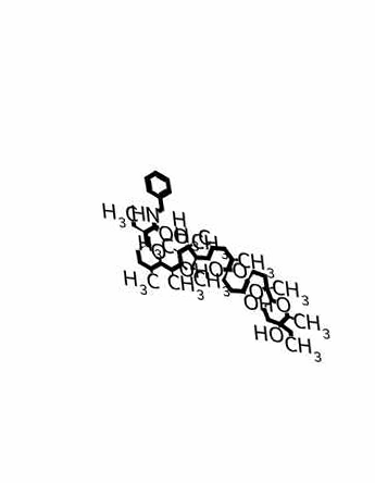 CC[C@H]([C@H]1O[C@]2(CC[C@@H](O)[C@]3(CC[C@@](C)([C@H]4CC[C@](O)(CC)[C@H](C)O4)O3)O2)[C@H](C)C[C@@H]1C)[C@@](C)(O)[C@@H](C)[C@@H](O)[C@H](C)[C@@H]1O[C@@H]([C@@H](CC)C(=O)NCc2ccccc2)CC[C@@H]1C